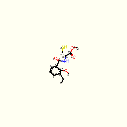 CCc1cccc(C(=O)N[C@H](CS)C(=O)OC)c1OC